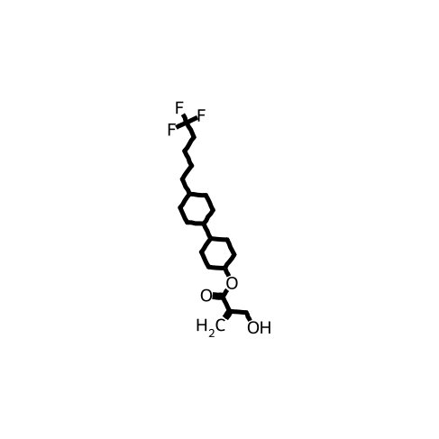 C=C(CO)C(=O)OC1CCC(C2CCC(CCCCC(F)(F)F)CC2)CC1